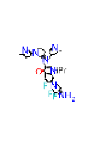 Cc1ccc(N2CCC[C@H](N(Cc3ccnc(C)c3)Cc3cn(C(C)C)c4cc(N5CC[C@@H](N)C(F)(F)C5)c(F)cc4c3=O)C2)cn1